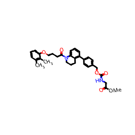 COC(=O)CNC(=O)OCc1ccc(-c2cccc3c2CCCN3C(=O)CCCOc2cccc(C)c2C)cc1